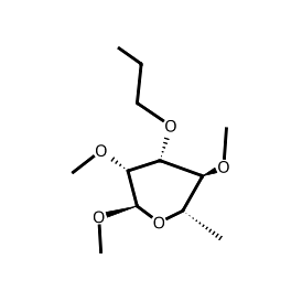 CCCO[C@@H]1[C@@H](OC)[C@H](C)O[C@@H](OC)[C@@H]1OC